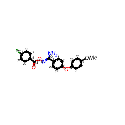 COc1ccc(Oc2ccc(/C(N)=N/OC(=O)c3ccc(F)cc3)cc2)cc1